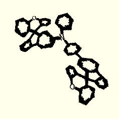 c1ccc(N(c2ccc(-c3ccc4c(c3)C3(c5ccccc5Oc5ccccc53)c3ccccc3-4)cc2)c2ccc3c(c2)C2(c4ccccc4Oc4ccccc42)c2ccccc2-3)cc1